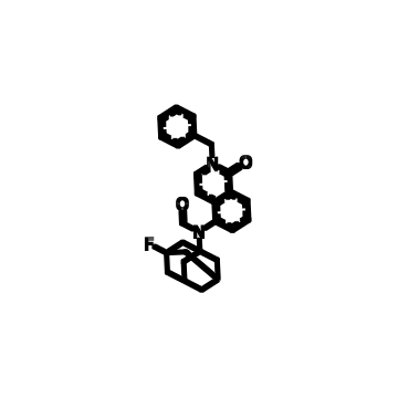 O=CN(c1cccc2c(=O)n(Cc3ccccc3)ccc12)C12CC3CC(CC(F)(C3)C1)C2